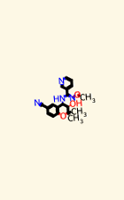 CON=C(N[C@@H]1c2cc(C#N)ccc2OC(C)(C)[C@H]1O)c1cccnc1